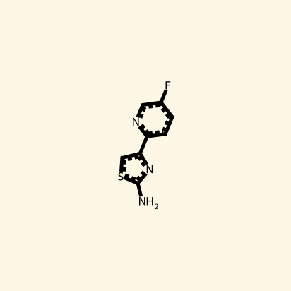 Nc1nc(-c2ccc(F)cn2)cs1